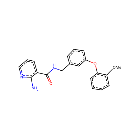 COc1ccccc1Oc1cccc(CNC(=O)c2cccnc2N)c1